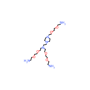 NCCOCCOCCN(CCOCCOCCN)CCN1CCN(CCOCCOCCN)CC1